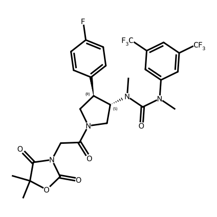 CN(C(=O)N(C)[C@@H]1CN(C(=O)CN2C(=O)OC(C)(C)C2=O)C[C@H]1c1ccc(F)cc1)c1cc(C(F)(F)F)cc(C(F)(F)F)c1